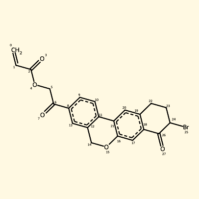 C=CC(=O)OCC(=O)c1ccc2c(c1)COc1cc3c(cc1-2)CCC(Br)C3=O